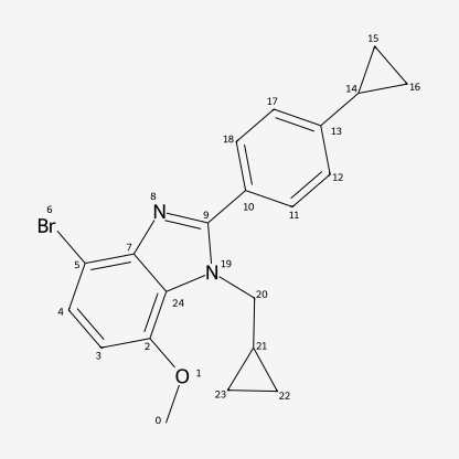 COc1ccc(Br)c2nc(-c3ccc(C4CC4)cc3)n(CC3CC3)c12